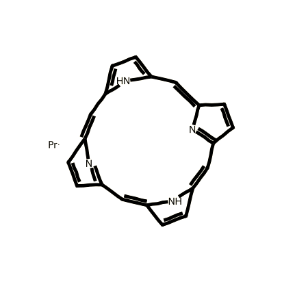 C1=Cc2cc3ccc(cc4nc(cc5ccc(cc1n2)[nH]5)C=C4)[nH]3.[Pr]